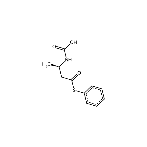 C[C@H](CC(=O)Sc1ccccc1)NC(=O)O